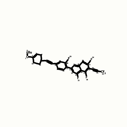 CCCCOC1=CCC(C#Cc2ccc(-c3cc(F)c4c(F)c(C#CC(F)(F)F)c(F)cc4c3)c(F)c2)CC1